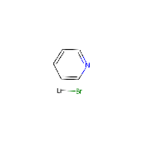 [Li][Br].c1ccncc1